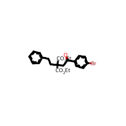 CCOC(=O)C(CCc1ccccc1)(CC(=O)c1ccc(Br)cc1)C(=O)OCC